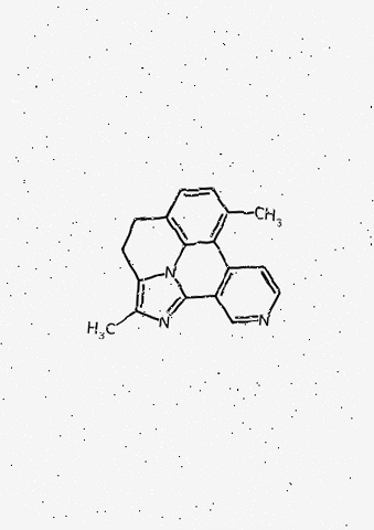 Cc1nc2c3cnccc3c3c(C)ccc4c3n2c1CC4